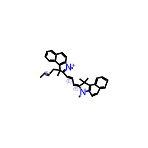 C/C=C/CC1(C)C(/C=C/C=C2/N(C)c3ccc4ccccc4c3C2(C)C)=[N+](C)c2ccc3ccccc3c21